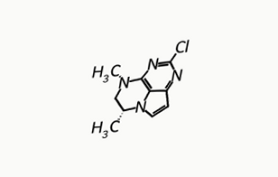 C[C@@H]1CN(C)c2nc(Cl)nc3ccn1c23